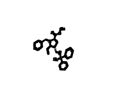 C=C[C@@H]1[C@@H](CO[Si](c2ccccc2)(c2ccccc2)C(C)(C)C)C[C@H](C(=O)OC(C)(C)C)N1Cc1ccccc1